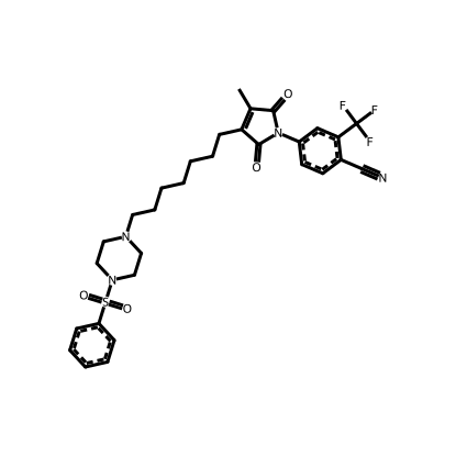 CC1=C(CCCCCCCN2CCN(S(=O)(=O)c3ccccc3)CC2)C(=O)N(c2ccc(C#N)c(C(F)(F)F)c2)C1=O